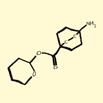 NC12CCC(C(=O)OC3CCCCO3)(CC1)CC2